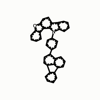 c1ccc2c(c1)-c1cccc3c(-c4ccc(-n5c6ccccc6c6ccc7oc8ccccc8c7c65)cc4)ccc-2c13